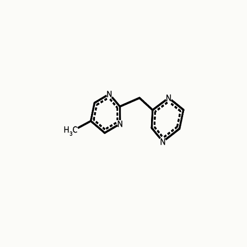 Cc1cnc(Cc2cnccn2)nc1